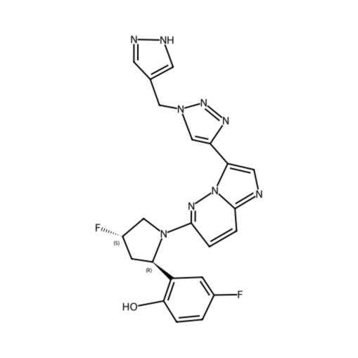 Oc1ccc(F)cc1[C@H]1C[C@H](F)CN1c1ccc2ncc(-c3cn(Cc4cn[nH]c4)nn3)n2n1